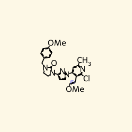 CO/C=C/c1c(-n2ccc(N3CCN(Cc4ccc(OC)cc4)C3=O)n2)cc(C)nc1Cl